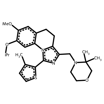 COc1cc2c(cc1OC(C)C)-n1c(-c3sccc3C)nc(CN3CCOCC3(C)C)c1CC2